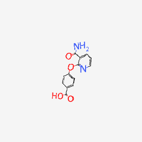 NC(=O)c1cccnc1Oc1ccc(C(=O)O)cc1